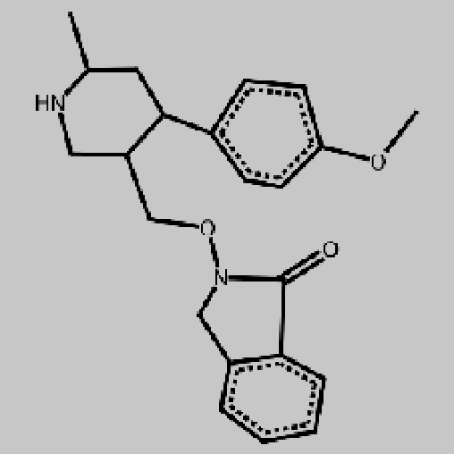 COc1ccc(C2CC(C)NCC2CON2Cc3ccccc3C2=O)cc1